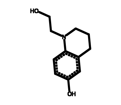 OCCN1CCCc2cc(O)ccc21